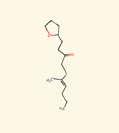 CCC/C=C(\C)CCC(=O)CCC1CCCO1